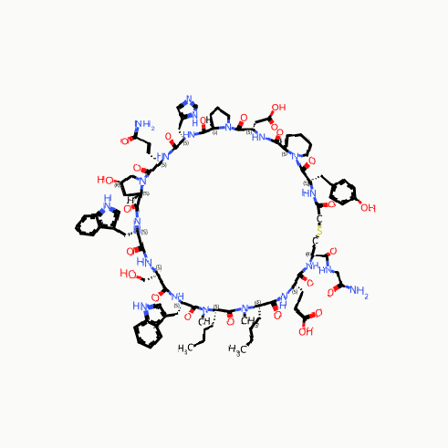 CCCC[C@H]1C(=O)N(C)[C@@H](CCCC)C(=O)N[C@@H](CCC(=O)O)C(=O)N[C@H](C(=O)NCC(N)=O)CSCC(=O)N[C@@H](Cc2ccc(O)cc2)C(=O)N2CCCC[C@H]2C(=O)N[C@@H](CC(=O)O)C(=O)N2CCC[C@H]2C(=O)N[C@@H](Cc2cnc[nH]2)C(=O)N[C@@H](CCC(N)=O)C(=O)N2C[C@H](O)C[C@H]2C(=O)N[C@@H](Cc2c[nH]c3ccccc23)C(=O)N[C@@H](CO)C(=O)N[C@@H](Cc2c[nH]c3ccccc23)C(=O)N1C